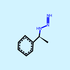 C[C@H](NN=N)c1ccccc1